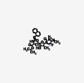 C/N=C(N)\C(F)=C/N(C=O)C1OC(CO[P@](NC(C)C(=O)OC(C)C)Oc2cccc3ccccc23)C(O)C1C